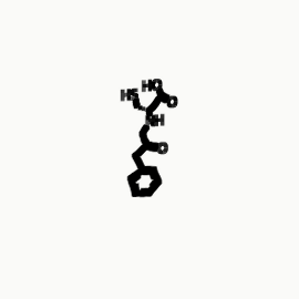 O=C(CN[C@H](CS)C(=O)O)Cc1ccccc1